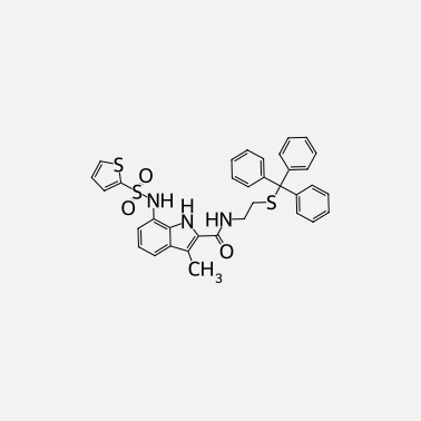 Cc1c(C(=O)NCCSC(c2ccccc2)(c2ccccc2)c2ccccc2)[nH]c2c(NS(=O)(=O)c3cccs3)cccc12